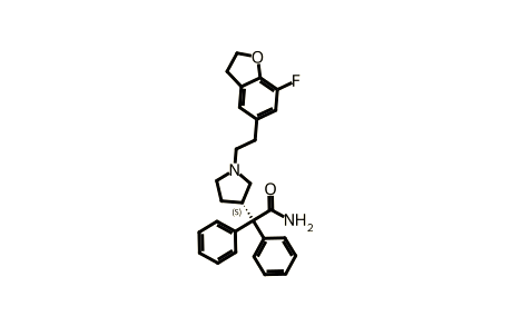 NC(=O)C(c1ccccc1)(c1ccccc1)[C@@H]1CCN(CCc2cc(F)c3c(c2)CCO3)C1